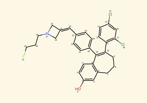 Oc1ccc2c(c1)CCCC(c1ccc(Cl)cc1Cl)=C2c1ccc(C=C2CN(CCCF)C2)cc1